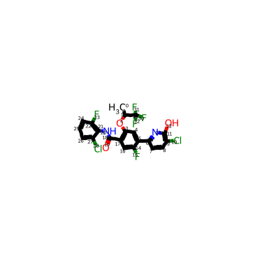 CC(Oc1cc(-c2ccc(Cl)c(O)n2)c(F)cc1C(=O)Nc1c(F)cccc1Cl)C(F)(F)F